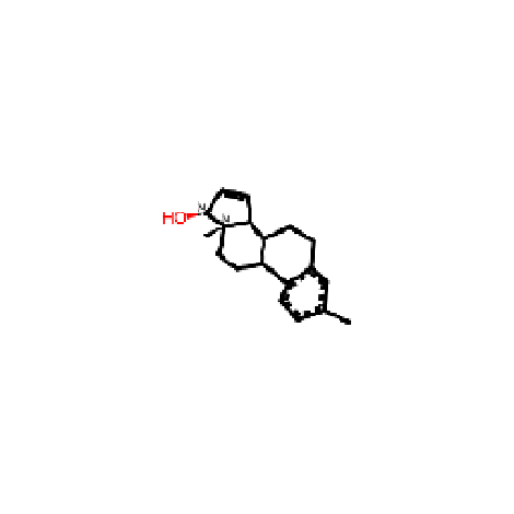 Cc1ccc2c(c1)CCC1C2CC[C@@]2(C)C1C=C[C@@H]2O